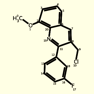 COc1cccc2cc(CCl)c(-c3cccc(F)c3)nc12